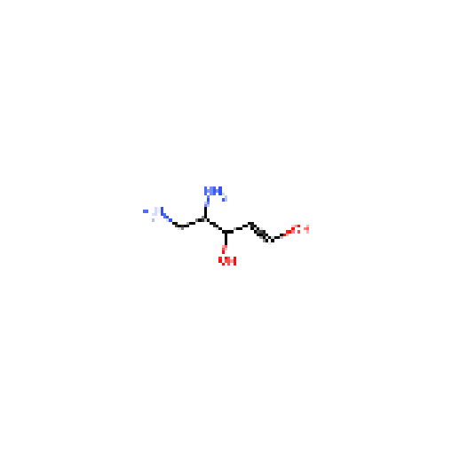 NCC(N)C(O)C=CO